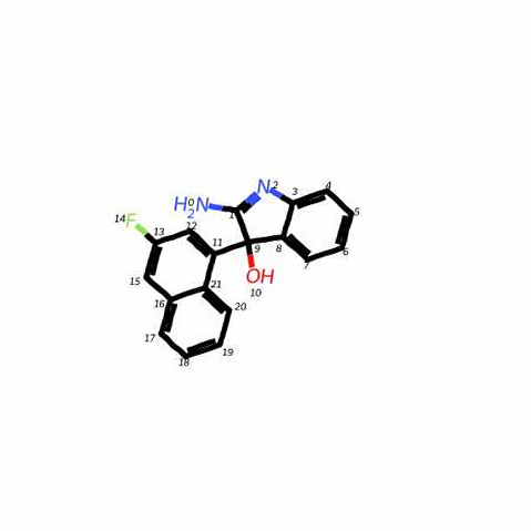 NC1=Nc2ccccc2C1(O)c1cc(F)cc2ccccc12